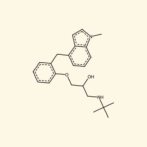 Cn1ccc2c(Cc3ccccc3OCC(O)CNC(C)(C)C)cccc21